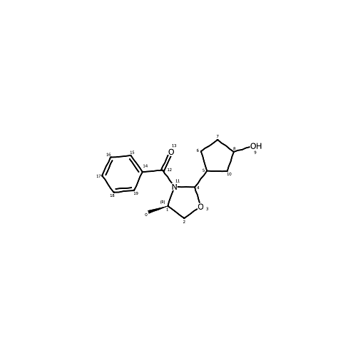 C[C@@H]1COC(C2CCC(O)C2)N1C(=O)c1ccccc1